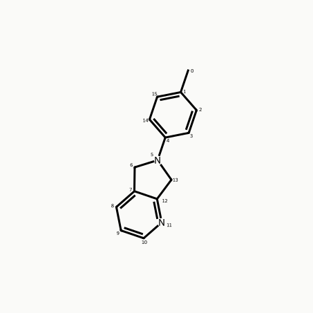 Cc1ccc(N2Cc3cccnc3C2)cc1